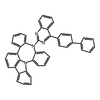 c1ccc(-c2ccc(-c3nc(-n4c5ccccc5c5cccc6c7ccccc7n(c7ccccc74)c56)nc4ccccc34)cc2)cc1